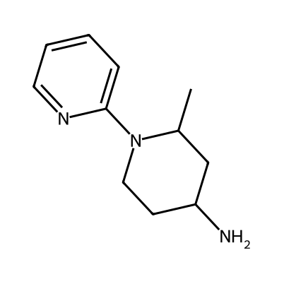 CC1CC(N)CCN1c1ccccn1